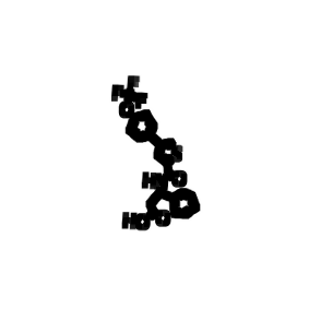 O=C(O)CC(NC(=O)c1cc(-c2ccc(OC(F)(F)F)cc2)cs1)c1ccccc1